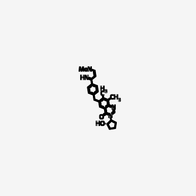 CN/C=C\C(=N)c1ccc(Cc2cc3c(=O)n([C@H]4CCC[C@@H]4O)cnc3c(C)c2C)cc1